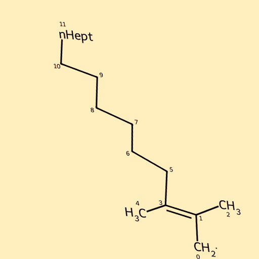 [CH2]/C(C)=C(\C)CCCCCCCCCCCCC